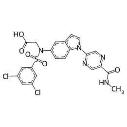 CNC(=O)c1cnc(-n2ccc3cc(N(CC(=O)O)S(=O)(=O)c4cc(Cl)cc(Cl)c4)ccc32)cn1